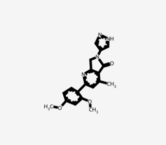 COc1ccc(-c2cc(C)c3c(n2)CN(c2cn[nH]c2)C3=O)c(OC)c1